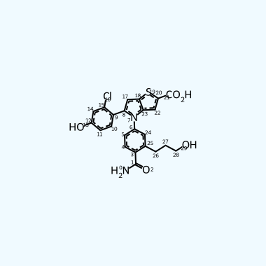 NC(=O)c1ccc(-n2c(-c3ccc(O)cc3Cl)cc3sc(C(=O)O)cc32)cc1CCCO